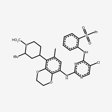 Cc1cc(Nc2ncc(Cl)c(Nc3ccccc3S(=O)(=O)C(C)C)n2)c2c(c1C1CCN(C(=O)O)C(C(C)(C)C)C1)OCCO2